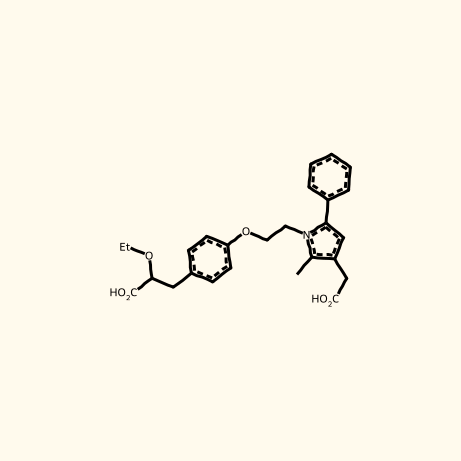 CCOC(Cc1ccc(OCCn2c(-c3ccccc3)cc(CC(=O)O)c2C)cc1)C(=O)O